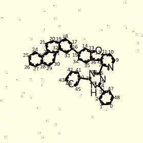 c1ccc(C2=NC(c3nccc4oc5cc(-c6ccc7ccc8c9ccccc9ccc8c7c6)ccc5c34)=NC(c3ccccc3)N2)cc1